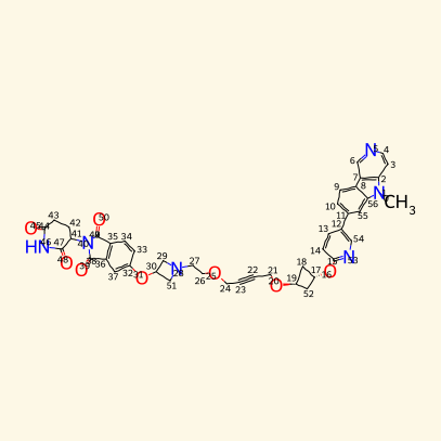 Cn1c2ccncc2c2ccc(-c3ccc(O[C@H]4C[C@H](OCC#CCOCCN5CC(Oc6ccc7c(c6)C(=O)N(C6CCC(=O)NC6=O)C7=O)C5)C4)nc3)cc21